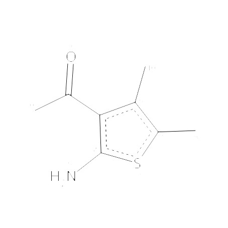 CC(=O)c1c(N)sc(C)c1C